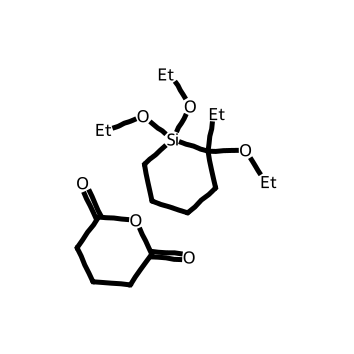 CCOC1(CC)CCCC[Si]1(OCC)OCC.O=C1CCCC(=O)O1